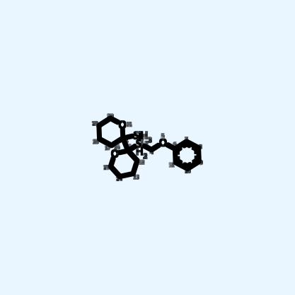 [SiH3]C1(C2([SiH2]COc3ccccc3)CCCCO2)CCCCO1